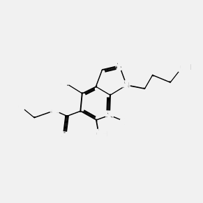 CCCCn1ncc2c(Cl)c(C(=O)OCC)c(C)[n+]([O-])c21